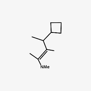 CN/C(C)=C(\C)C(C)C1CCC1